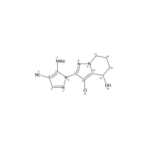 CNc1c(C#N)cnn1-c1nn2c(c1Cl)C(O)CCC2